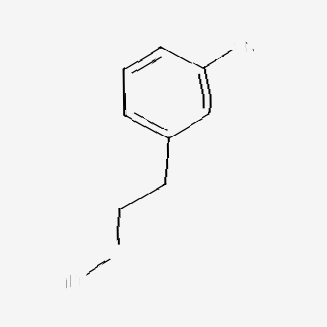 CC(C)OCCc1cccc(C#N)c1